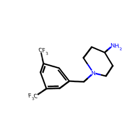 NC1CCN(Cc2cc(C(F)(F)F)cc(C(F)(F)F)c2)CC1